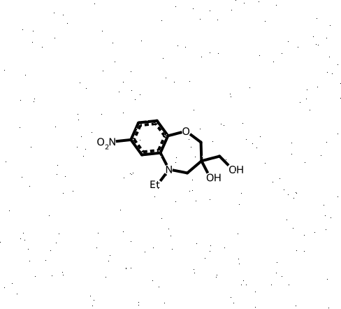 CCN1CC(O)(CO)COc2ccc([N+](=O)[O-])cc21